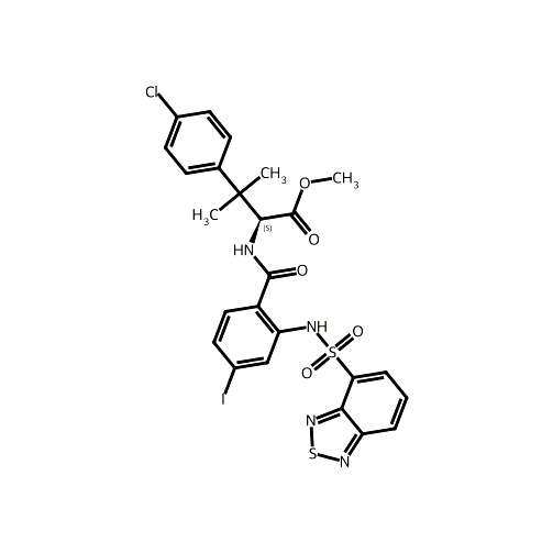 COC(=O)[C@@H](NC(=O)c1ccc(I)cc1NS(=O)(=O)c1cccc2nsnc12)C(C)(C)c1ccc(Cl)cc1